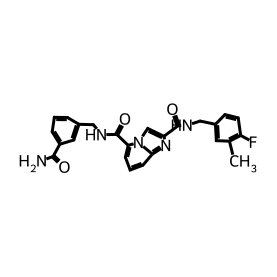 Cc1cc(CNC(=O)c2cn3c(C(=O)NCc4cccc(C(N)=O)c4)cccc3n2)ccc1F